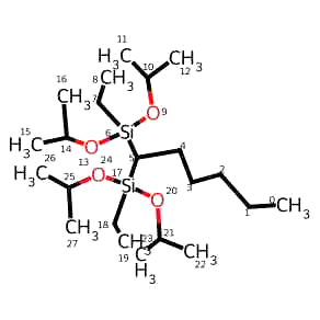 CCCCCC([Si](CC)(OC(C)C)OC(C)C)[Si](CC)(OC(C)C)OC(C)C